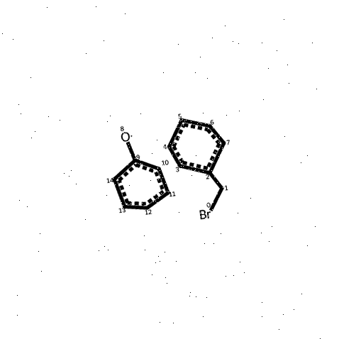 BrCc1ccccc1.[O]c1ccccc1